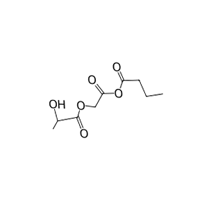 CCCC(=O)OC(=O)COC(=O)C(C)O